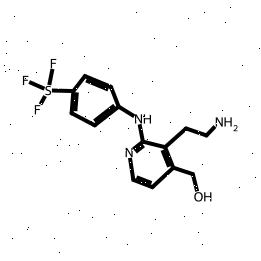 NCCc1c(CO)ccnc1Nc1ccc(S(F)(F)F)cc1